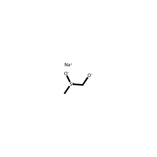 C[S+]([O-])C[O-].[Na+]